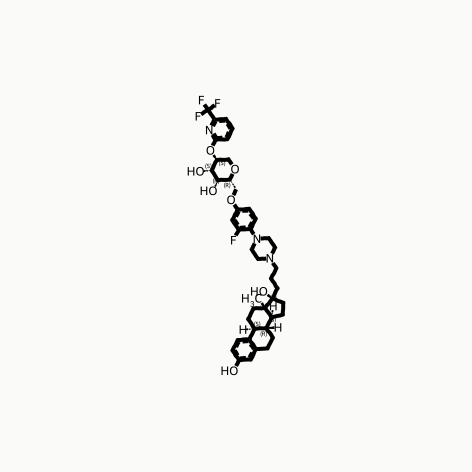 C[C@]12CC[C@@H]3c4ccc(O)cc4CC[C@H]3[C@@H]1CC[C@@]2(O)CCCN1CCN(c2ccc(OC[C@H]3OC[C@H](Oc4cccc(C(F)(F)F)n4)[C@@H](O)[C@H]3O)cc2F)CC1